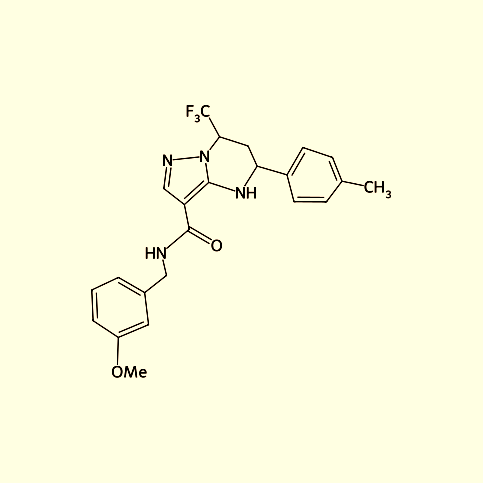 COc1cccc(CNC(=O)c2cnn3c2NC(c2ccc(C)cc2)CC3C(F)(F)F)c1